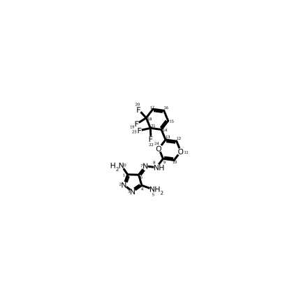 NC1=NN=C(N)C1=NNC1=COC=C(C2=CC=CC(F)(F)C2(F)F)O1